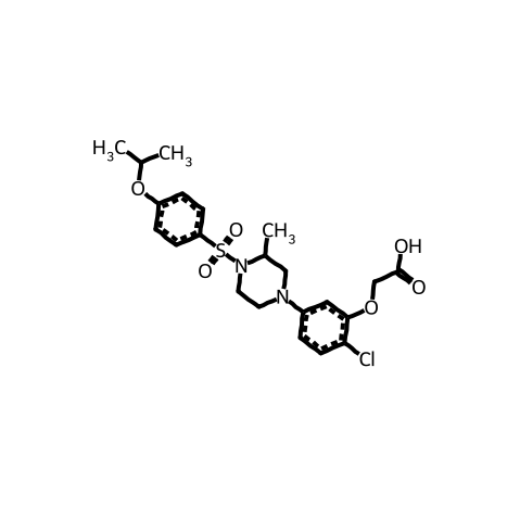 CC(C)Oc1ccc(S(=O)(=O)N2CCN(c3ccc(Cl)c(OCC(=O)O)c3)CC2C)cc1